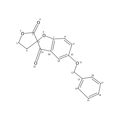 O=C1OCCC12Oc1ccc(OCc3ccccc3)cc1C2=O